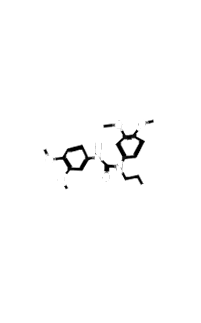 CCCN(C(=O)Nc1ccc(OC)c(OC)c1)c1ccc(OC)c(OC)c1